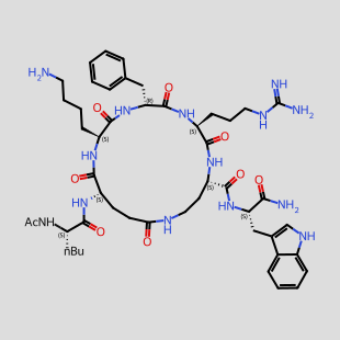 CCCC[C@H](NC(C)=O)C(=O)N[C@H]1CCC(=O)NCC[C@@H](C(=O)N[C@@H](Cc2c[nH]c3ccccc23)C(N)=O)NC(=O)[C@H](CCCNC(=N)N)NC(=O)[C@@H](Cc2ccccc2)NC(=O)[C@H](CCCCN)NC1=O